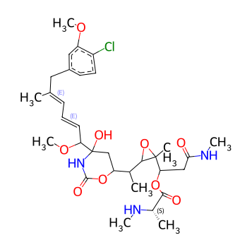 CNC(=O)CC(OC(=O)[C@H](C)NC)C1(C)OC1C(C)C1CC(O)(C(/C=C/C=C(\C)Cc2ccc(Cl)c(OC)c2)OC)NC(=O)O1